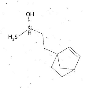 O[SiH]([SiH3])CCC12C=CC(CC1)C2